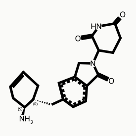 N[C@H]1CC=CC[C@@H]1Cc1ccc2c(c1)CN(C1CCC(=O)NC1=O)C2=O